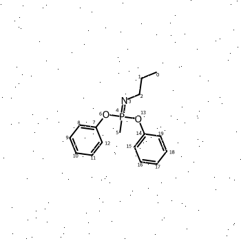 CCCN=P(C)(Oc1ccccc1)Oc1ccccc1